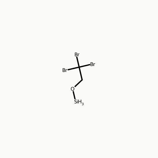 [SiH3]OCC(Br)(Br)Br